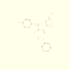 Cc1cc(/C(=C/Nc2ccc(Cl)cc2)C(=O)Nc2ccc(Cl)cc2)no1